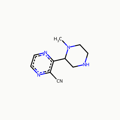 CN1CCNCC1c1nccnc1C#N